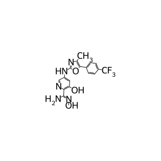 Cc1nc(Nc2cnc(/C(N)=N/O)c(O)c2)oc1-c1ccc(C(F)(F)F)cc1